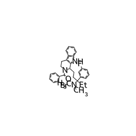 CCC(CCC1c2[nH]c3ccccc3c2CCN1C(=O)c1ccccc1Br)(c1cccc(F)c1)N(C)C